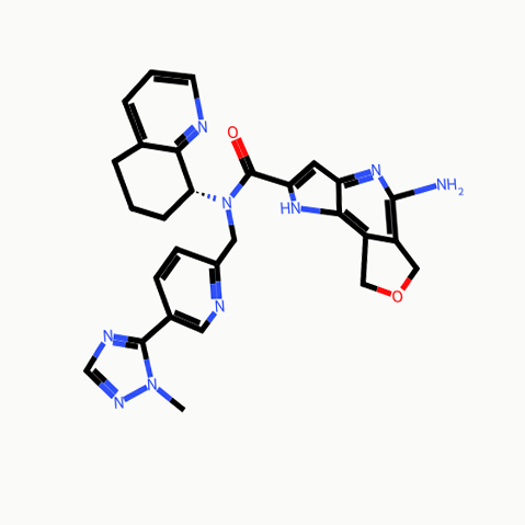 Cn1ncnc1-c1ccc(CN(C(=O)c2cc3nc(N)c4c(c3[nH]2)COC4)[C@@H]2CCCc3cccnc32)nc1